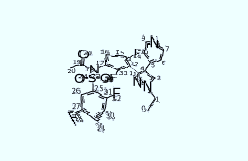 CCn1cc(-c2ccncc2)c(-c2c(F)ccc(N(C(C)=O)S(=O)(=O)c3cc(F)ccc3F)c2F)n1